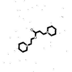 [O]C(CCN1CCCCC1)OCCN1CCCCC1